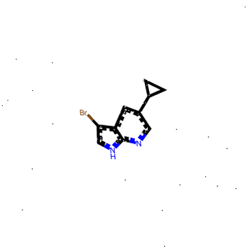 Brc1c[nH]c2ncc(C3[CH]C3)cc12